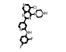 Fc1ccc(Nc2cc(-c3nc(N4CCNCC4)c4c(Cl)cncc4n3)ccn2)c(F)c1